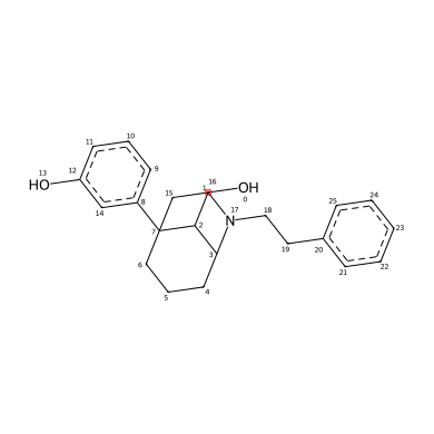 OCC1C2CCCC1(c1cccc(O)c1)CCN2CCc1ccccc1